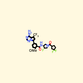 COc1ccc(-c2cc(C(F)(F)F)c3c(N)ncnn23)cc1C(=O)N[C@@H]1CN(C(=O)C2CCC(F)(F)C2)C[C@@H]1F